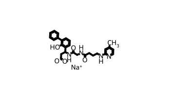 Cc1ccnc(NCCCC(=O)NCC(=O)NC(CC(=O)[O-])c2cccc(-c3ccccc3)c2O)c1.[Na+]